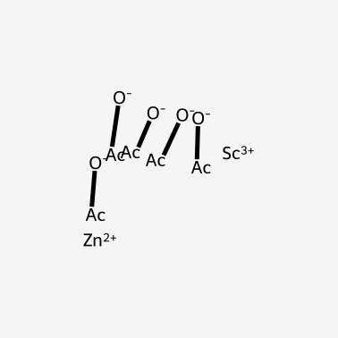 CC(=O)[O-].CC(=O)[O-].CC(=O)[O-].CC(=O)[O-].CC(=O)[O-].[Sc+3].[Zn+2]